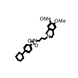 COc1cc2c(cc1OC)CN(CCCNS(=O)(=O)c1ccc(C3CCCCC3)cc1)CC2